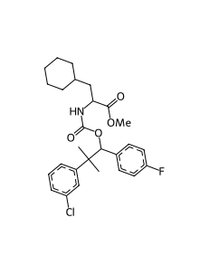 COC(=O)C(CC1CCCCC1)NC(=O)OC(c1ccc(F)cc1)C(C)(C)c1cccc(Cl)c1